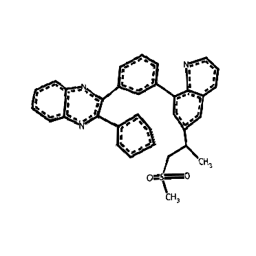 CC(CS(C)(=O)=O)c1cc(-c2cccc(-c3nc4ccccc4nc3-c3ccccc3)c2)c2ncccc2c1